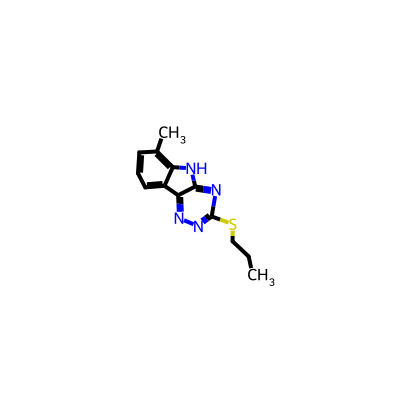 CCCSc1nnc2c(n1)[nH]c1c(C)cccc12